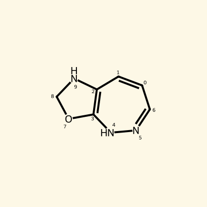 C1=CC2=C(NN=C1)OCN2